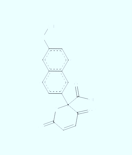 COc1ccc2cc(C3(C(=O)O)SC(=O)C=CC3=O)ccc2c1